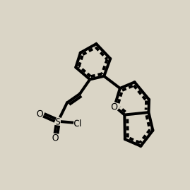 O=S(=O)(Cl)C=Cc1ccccc1-c1ccc2cccc-2o1